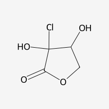 O=C1OCC(O)C1(O)Cl